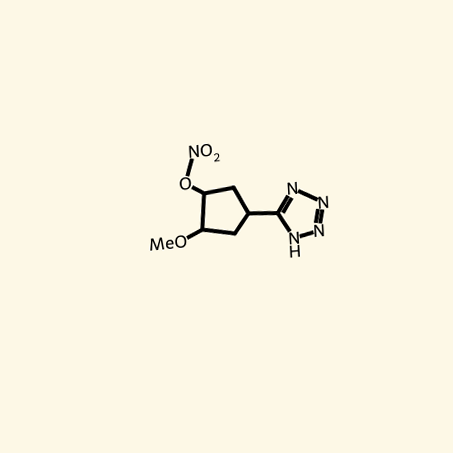 COC1CC(c2nnn[nH]2)CC1O[N+](=O)[O-]